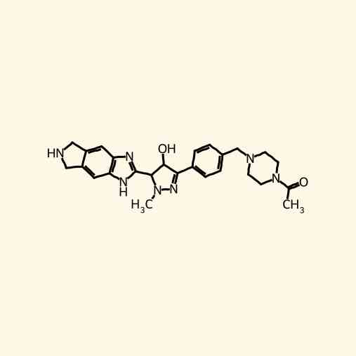 CC(=O)N1CCN(Cc2ccc(C3=NN(C)C(c4nc5cc6c(cc5[nH]4)CNC6)C3O)cc2)CC1